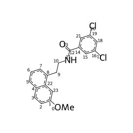 COc1ccc2cccc(CCNC(=O)c3cc(Cl)cc(Cl)c3)c2c1